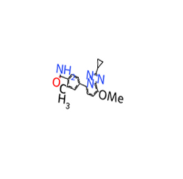 COc1ccc(-c2ccc(C(N)=O)c(C)c2)n2nc(C3CC3)nc12